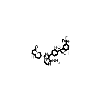 Nc1nccn2c([C@@H]3CC[C@H]4CCC(=O)N4C3)nc(-c3ccc([C@](O)(CO)c4cccc(C(F)(F)F)c4)cc3)c12